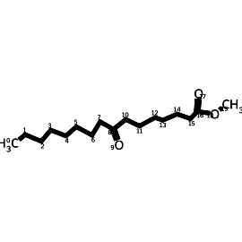 CCCCCCCCC(=O)CCCCCCC(=O)OC